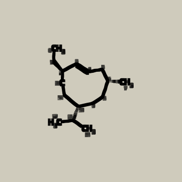 CC[C@H]1/C=C/C[C@H](C)CC[C@H](C(C)C)CC1